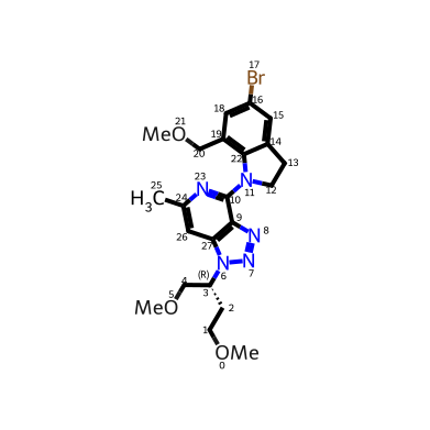 COCC[C@H](COC)n1nnc2c(N3CCc4cc(Br)cc(COC)c43)nc(C)cc21